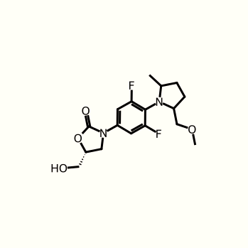 COCC1CCC(C)N1c1c(F)cc(N2C[C@H](CO)OC2=O)cc1F